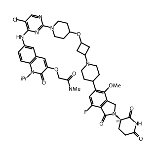 CNC(=O)COc1cc2cc(Nc3nc(N4CCC(OC5CC(N6CCC(c7cc(F)c8c(c7OC)CN([C@@H]7CCC(=O)NC7=O)C8=O)CC6)C5)CC4)ncc3Cl)ccc2n(C(C)C)c1=O